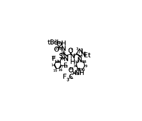 CCn1ncc(NC(=O)c2nc(-c3c(F)cccc3F)sc2NC(=O)OC(C)(C)C)c1N1CCC[C@H](NC(=O)C(F)(F)F)CC1